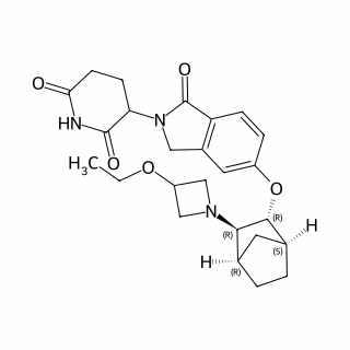 CCOC1CN([C@@H]2[C@@H]3CC[C@@H](C3)[C@H]2Oc2ccc3c(c2)CN(C2CCC(=O)NC2=O)C3=O)C1